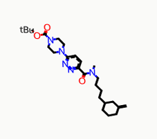 C=C1CCCC(CCCCN(C)C(=O)c2ccc(N3CCN(C(=O)OC(C)(C)C)CC3)nn2)C1